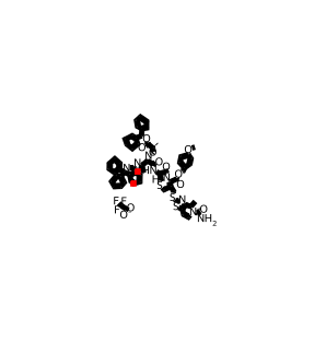 COc1ccc(COC(=O)C2=C(CSc3nc4c(C)[n+](C(N)=O)ccc4s3)CS[C@H]3C(NC(=O)/C(=N\O[C@@H](C)C(=O)OC(c4ccccc4)c4ccccc4)c4csc(NC(c5ccccc5)(c5ccccc5)c5ccccc5)n4)C(=O)N23)cc1.O=C([O-])C(F)(F)F